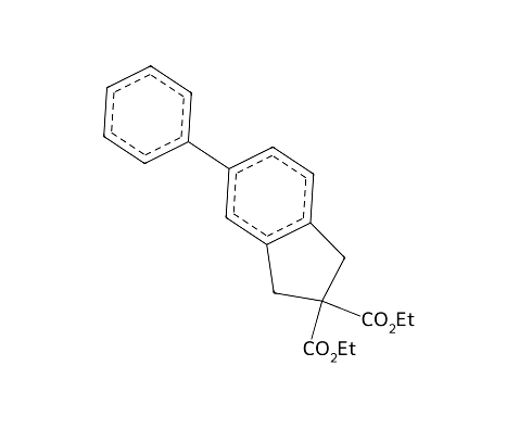 CCOC(=O)C1(C(=O)OCC)Cc2ccc(-c3ccccc3)cc2C1